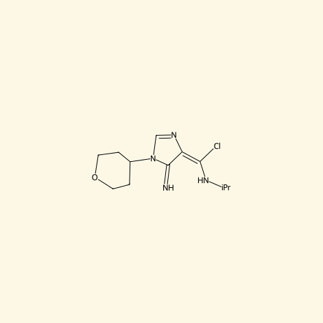 CC(C)N/C(Cl)=C1/N=CN(C2CCOCC2)C1=N